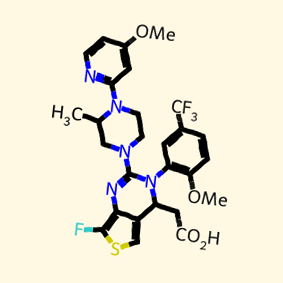 COc1ccnc(N2CCN(C3=Nc4c(csc4F)C(CC(=O)O)N3c3cc(C(F)(F)F)ccc3OC)CC2C)c1